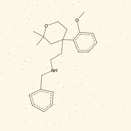 COc1ccccc1C1(CCNCc2ccccc2)CCOC(C)(C)C1